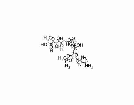 COC(C(O)C(O)[C@@H](O)CCOP(=O)(O)OP(=O)(O)OCC1OC(n2cnc3c(N)ncnc32)C2OC(C)(C)OC12)[C@H](O)CO